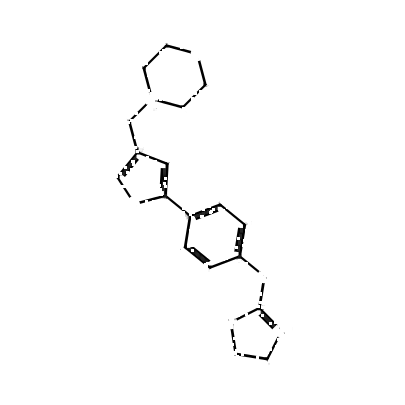 c1sc(-c2ccc(NC3=NCCN3)cc2)cc1CN1CCOCC1